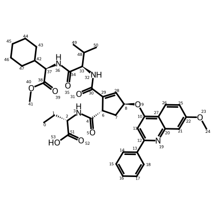 CC[C@H](NC(=O)[C@H]1C[C@H](Oc2cc(-c3ccccc3)nc3cc(OC)ccc23)C=C1C(=O)N[C@@H](C(=O)N[C@@H](C(=O)OC)C1CCCCC1)C(C)C)C(=O)O